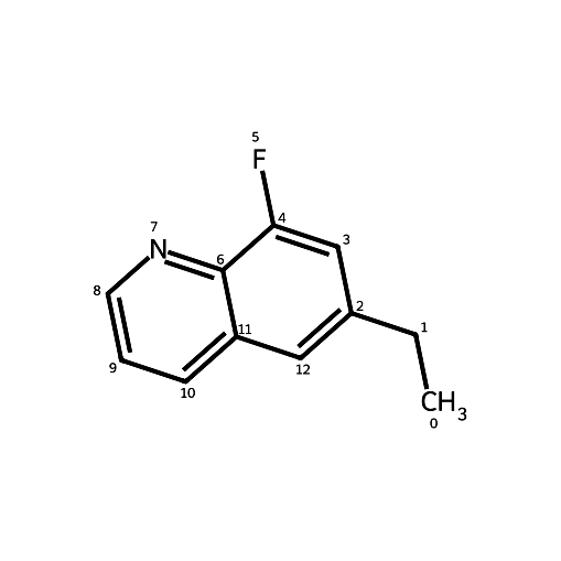 CCc1cc(F)c2ncccc2c1